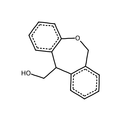 OCC1c2ccccc2COc2ccccc21